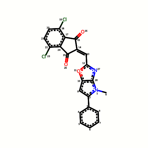 Cn1c(-c2ccccc2)cc2oc(C=C3C(=O)c4c(Cl)ccc(Cl)c4C3=O)nc21